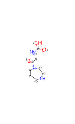 O=C(O)NCC(=O)N1CCCNCC1